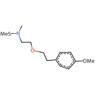 COc1ccc(CCOCCN(C)SC)cc1